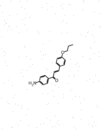 CCCOc1ccc(C=CC(=O)c2ccc(N)cc2)cc1